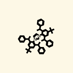 CC(c1ccccc1)c1cc(C(C)(C)C)cc(C(C)c2ccccc2)c1N1C=CN(c2c(C(C)c3ccccc3)cc(C(C)(C)C)cc2C(C)c2ccccc2)C1